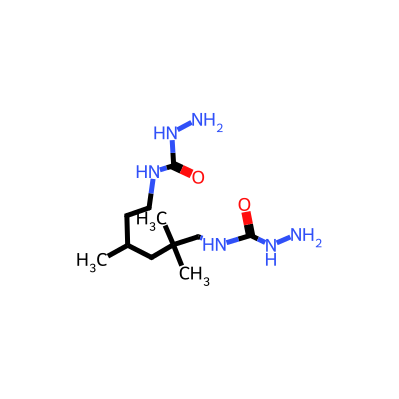 CC(CCNC(=O)NN)CC(C)(C)CNC(=O)NN